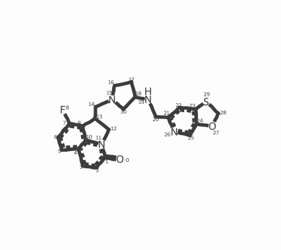 O=c1ccc2ccc(F)c3c2n1CC3CN1CCC(NCc2cc3c(cn2)OCS3)C1